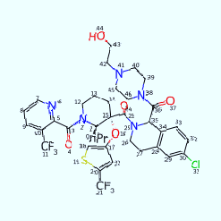 CCC[C@H]1N(C(=O)c2ncccc2C(F)(F)F)CCC[C@@]1(Oc1csc(C(F)(F)F)c1)C(=O)N1CCc2cc(Cl)ccc2C1C(=O)N1CCN(CCO)CC1